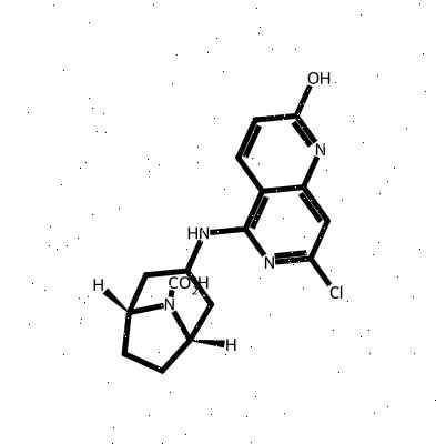 O=C(O)N1[C@@H]2CC[C@H]1CC(Nc1nc(Cl)cc3nc(O)ccc13)C2